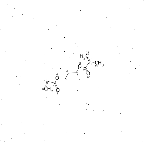 C=CC(=O)OCC[CH]OC(=O)C(=C)C